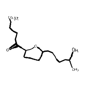 CCOC(=O)CCC(=O)C1CCC(CCC(C)O)O1